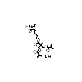 C=C(C)C(=O)OCC(C)(COC(=O)C(=C)C)C(=O)OCCCCS(=O)(=O)O.[LiH]